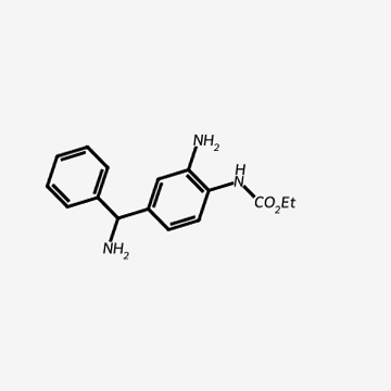 CCOC(=O)Nc1ccc(C(N)c2ccccc2)cc1N